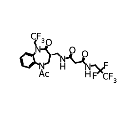 CC(=O)N1C[C@H](CNC(=O)CC(=O)NCC(F)(F)C(F)(F)F)C(=O)N(CC(F)(F)F)c2ccccc21